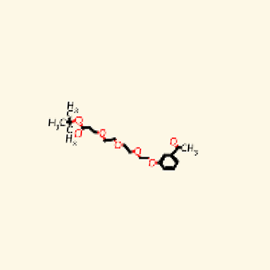 CC(=O)c1cccc(OCCOCCOCCOCCC(=O)OC(C)(C)C)c1